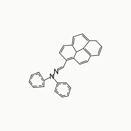 C1=CC2=C3C(=CC=C4C=CC(C=NN(c5ccccc5)c5ccccc5)=C(C=C2)C43)C1